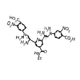 CCNC(=O)c1cc(/C(N)=C/N(N)c2ccc(C(=O)O)c([N+](=O)[O-])c2)nc(/C(N)=C/N(N)c2ccc(C(=O)O)c([N+](=O)[O-])c2)c1